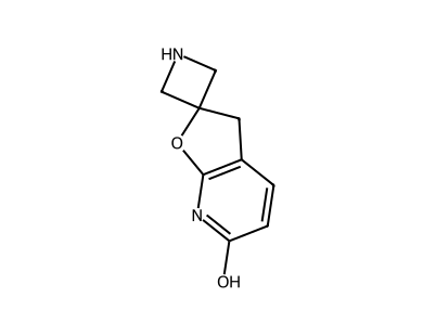 Oc1ccc2c(n1)OC1(CNC1)C2